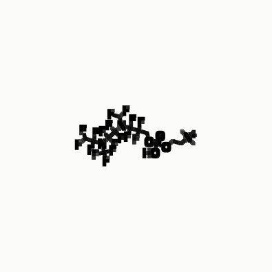 C[N+](C)(C)CCOP(=O)(O)OCC(F)(F)C(F)(F)N(C(F)F)C(F)(F)C(F)(F)N(C(F)(F)F)C(F)(F)C(F)F